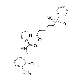 Cc1cccc(CNC(=O)[C@H]2CCCN2C(=O)CCCC[C@@](C#N)(c2ccccc2)C(C)C)c1C